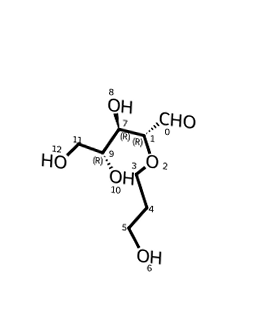 O=C[C@H](OCCCO)[C@H](O)[C@H](O)CO